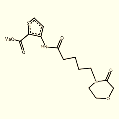 COC(=O)c1sccc1NC(=O)CCCCN1CCOCC1=O